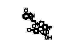 O=C(O)COc1ccc(Cl)cc1[C@@H]1c2ccc(F)cc2CCN1C(=O)CCn1ncc2c(Cl)cccc21